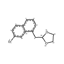 CCc1ccc2cccc(CC3OCCO3)c2c1